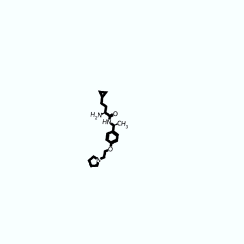 C[C@H](NC(=O)[C@@H](N)CCC1CC1)c1ccc(OCCN2CCCC2)cc1